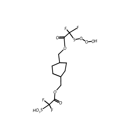 O=C(OCC1CCC(COC(=O)C(F)(F)S(=O)(=O)O)CC1)C(F)(F)SOOO